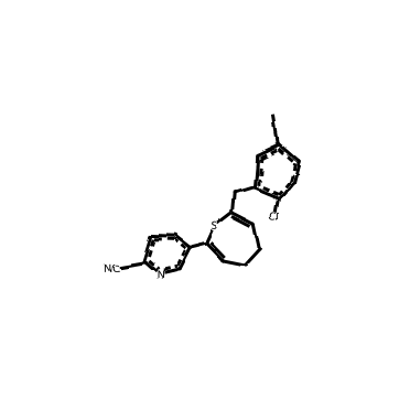 Cc1ccc(Cl)c(CC2=CCCC=C(c3ccc(C#N)nc3)S2)c1